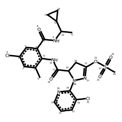 Cc1cc(Cl)cc(C(=O)NC(C)C2CC2)c1NC(=O)C1CC(OS(C)(=O)=O)=NN1c1ncccc1Cl